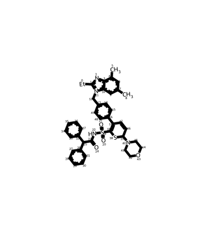 CCc1nc2c(C)cc(C)cc2n1Cc1ccc(C2=C(S(=O)(=O)NC(=O)C(c3ccccc3)c3ccccc3)SC(N3CCOCC3)C=C2)cc1